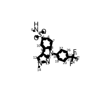 CNS(=O)(=O)c1ccc2c(c1)c1cn(C)nc1n2-c1ccc(C(F)(F)F)cc1